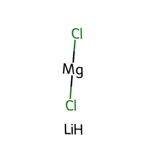 [Cl][Mg][Cl].[LiH]